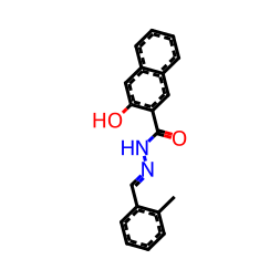 Cc1ccccc1/C=N/NC(=O)c1cc2ccccc2cc1O